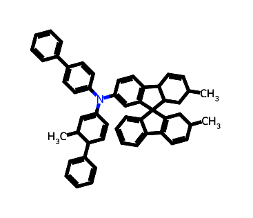 CC1C=CC2=C(C1)C1(c3ccccc32)c2cc(N(C3=CC(C)C(c4ccccc4)C=C3)c3ccc(-c4ccccc4)cc3)ccc2C2C=CC(C)CC21